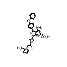 CC(=O)O.Nc1ncnc2c1c(-c1ccc(Oc3ccccc3)cc1)nn2C1CN(C(=O)Cn2ccnc2N)C1